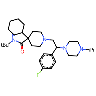 CC(C)N1CCN(C(CN2CCC(C(=O)NC(C)(C)C)(C3CCCCC3)CC2)c2ccc(F)cc2)CC1